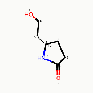 O=C1CC[C@@H](CCO)N1